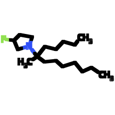 CCCCCCCC(C)(CCCCC)N1CCC(F)C1